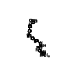 CCN(C)S(=O)(=O)Nc1ccc(F)c(C(=O)c2c[nH]c3ncc(-c4ccc(N5CCC(NCC(=O)N6CCC(c7ccc(OC8CCC(=O)NC8=O)cc7)CC6)CC5)nc4)cc23)c1F